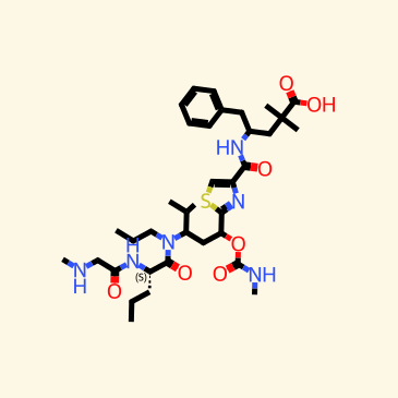 CCC[C@H](NC(=O)CNC)C(=O)N(CCC)C(CC(OC(=O)NC)c1nc(C(=O)NC(Cc2ccccc2)CC(C)(C)C(=O)O)cs1)C(C)C